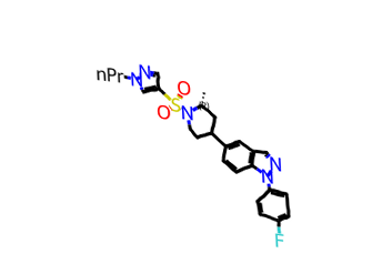 CCCn1cc(S(=O)(=O)N2CCC(c3ccc4c(cnn4-c4ccc(F)cc4)c3)C[C@H]2C)cn1